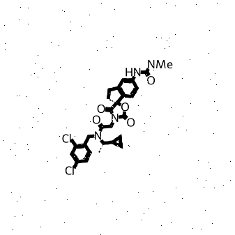 CNC(=O)Nc1ccc2c(c1)CC[C@@]21OC(=O)N(CC(=O)N(Cc2ccc(Cl)cc2Cl)[C@@H](C)C2CC2)C1=O